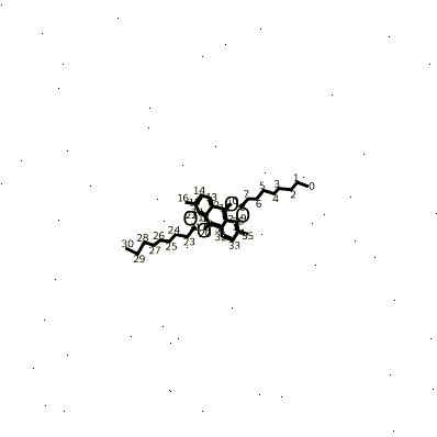 CCCCCCCCC(=O)Oc1c2ccc(C)cc2c(OC(=O)CCCCCCCC)c2ccc(C)cc12